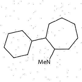 CNC1CCCCCC1C1CCCCC1